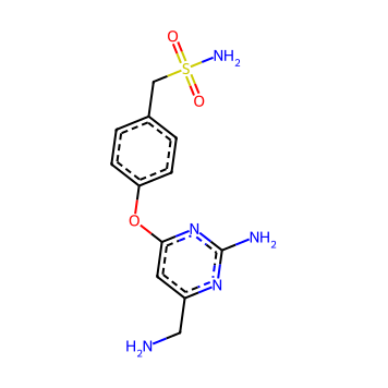 NCc1cc(Oc2ccc(CS(N)(=O)=O)cc2)nc(N)n1